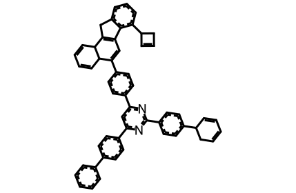 C1=CCC(c2ccc(-c3nc(-c4ccc(C5=CC6=C(Cc7cccc(C8C=CC8)c76)C6C=CC=CC56)cc4)cc(-c4ccc(-c5ccccc5)cc4)n3)cc2)C=C1